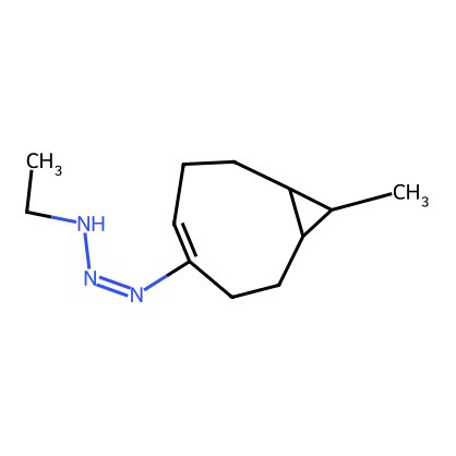 CCN/N=N\C1=C\CCC2C(C)C2CC1